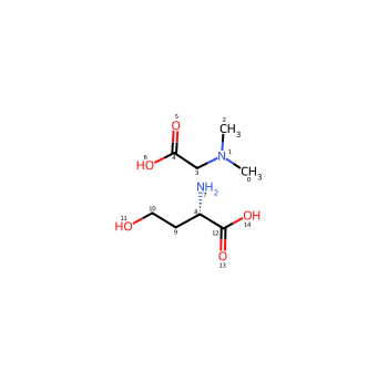 CN(C)CC(=O)O.N[C@@H](CCO)C(=O)O